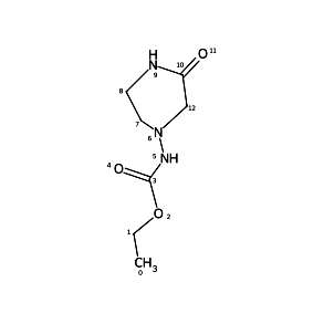 CCOC(=O)NN1CCNC(=O)C1